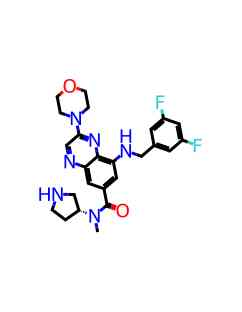 CN(C(=O)c1cc(NCc2cc(F)cc(F)c2)c2nc(N3CCOCC3)cnc2c1)[C@@H]1CCNC1